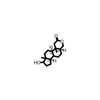 CC12CC[C@H]3C(CC[C@H]4COC(=O)CC43C)[C@@H]1CCC2O